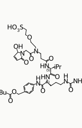 CC(C)[C@H](NC(=O)CCN(CCOCCS(=O)(=O)O)C(=O)CN1C(=O)C=CC1O)C(=O)N[C@@H](CCCNC(N)=O)C(=O)Nc1ccc(COC(=O)C(C)(C)C)cc1